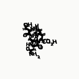 NC(=O)C[C@H](NC(=O)CNC(=O)[C@@H](N)CO)C(=O)N[C@@H](Cc1c[nH]cn1)C(=O)O